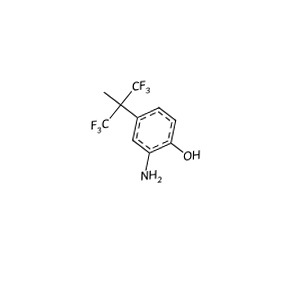 CC(c1ccc(O)c(N)c1)(C(F)(F)F)C(F)(F)F